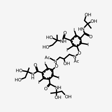 CC(=O)N(CC(O)CN(Oc1c(I)c(C(=O)NC(C)(O)CO)c(I)c(C(=O)NC(C)(O)CO)c1I)C(C)=O)Oc1c(I)c(C(=O)NC(C)(O)CO)c(I)c(C(=O)NC(C)(O)CO)c1I